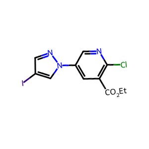 CCOC(=O)c1cc(-n2cc(I)cn2)cnc1Cl